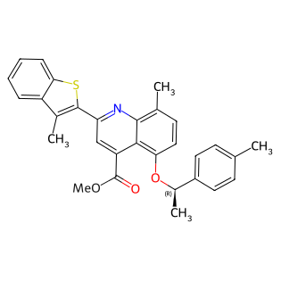 COC(=O)c1cc(-c2sc3ccccc3c2C)nc2c(C)ccc(O[C@H](C)c3ccc(C)cc3)c12